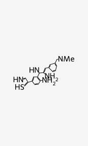 CNCc1cccc(/C=C(\N)C(=N)c2cc(/C(C=N)=C/S)ccc2N)c1